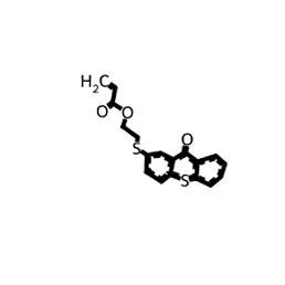 C=CC(=O)OCCSc1ccc2sc3ccccc3c(=O)c2c1